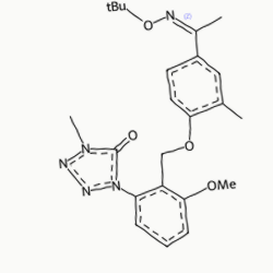 COc1cccc(-n2nnn(C)c2=O)c1COc1ccc(/C(C)=N\OC(C)(C)C)cc1C